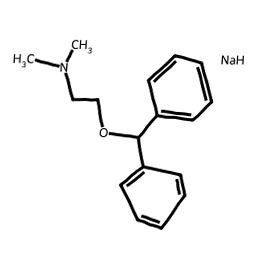 CN(C)CCOC(c1ccccc1)c1ccccc1.[NaH]